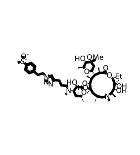 CC[C@H]1OC(=O)[C@H](C)[C@@H](C2C[C@@](C)(OC)[C@@H](O)[C@H](C)O2)[C@H](C)[C@@H](O[C@@H]2O[C@H](C)C[C@H](N(C)CCCc3cn(CCc4ccc([S+](C)[O-])cc4)nn3)[C@H]2O)[C@](C)(O)C[C@@H](C)CN(C)[C@H](C)[C@@H](O)[C@]1(C)O